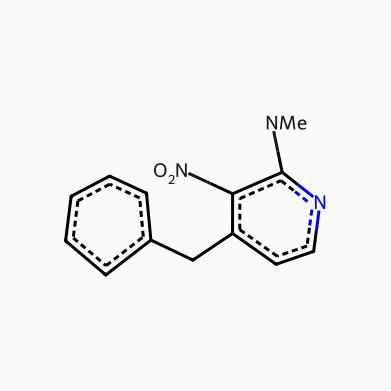 CNc1nccc(Cc2ccccc2)c1[N+](=O)[O-]